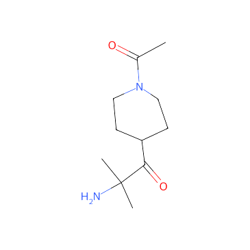 CC(=O)N1CCC(C(=O)C(C)(C)N)CC1